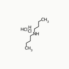 CCCCNCCCC.Cl.Cl